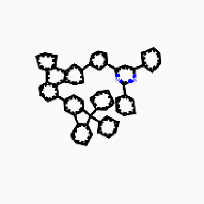 c1ccc(-c2cc(-c3cccc(-c4ccc5c(c4)c4ccccc4c4cccc(-c6ccc7c(c6)-c6ccccc6C7(c6ccccc6)c6ccccc6)c45)c3)nc(-c3ccccc3)n2)cc1